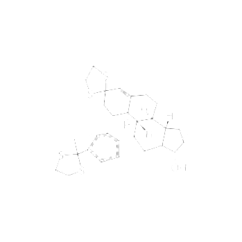 CC1(c2ccc([C@H]3C[C@]4(C)[C@@H](O)CC[C@H]4[C@@H]4CCC5=CC6(CC[C@@H]5[C@H]43)SCCS6)cc2)SCCS1